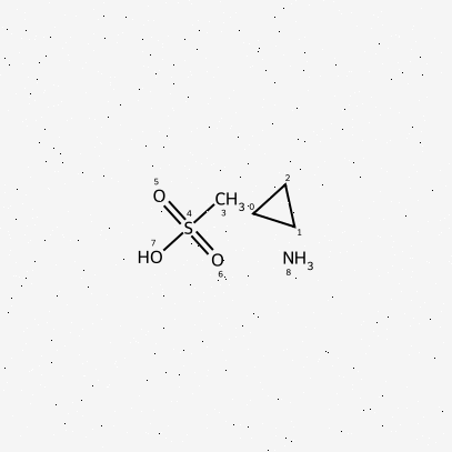 C1CC1.CS(=O)(=O)O.N